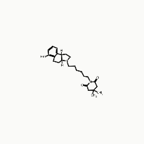 CC1(C)CC(=O)N(CCCCCCN2CC[C@H]3c4cccc(O)c4CC[C@H]32)C(=O)C1